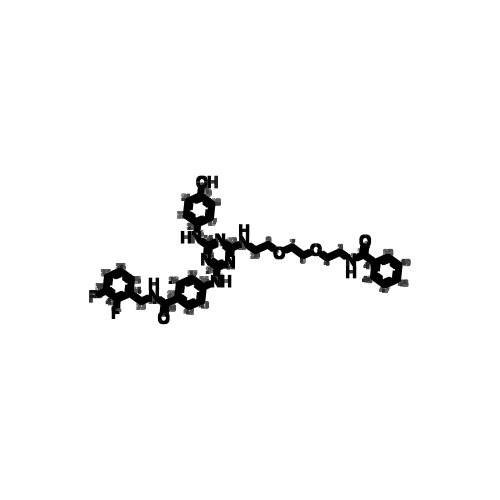 O=C(NCCOCCOCCNc1nc(Nc2ccc(O)cc2)nc(Nc2ccc(C(=O)NCc3cccc(F)c3F)cc2)n1)c1ccccc1